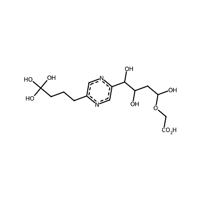 O=C(O)COC(O)CC(O)C(O)c1cnc(CCCC(O)(O)O)cn1